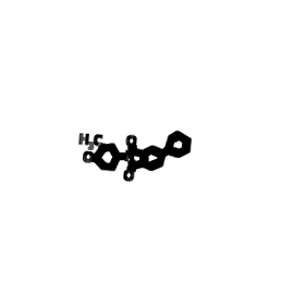 CC1CC(N2C(=O)c3ccc(-c4ccccc4)cc3C2=O)CCC1=O